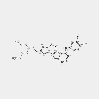 CCCN(CCOC)CCn1cc2c(n1)CCc1c-2sc2ncnc(Nc3ccc(F)c(Cl)c3)c12